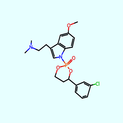 COc1ccc2c(c1)c(CCN(C)C)cn2P1(=O)OCCC(c2cccc(Cl)c2)O1